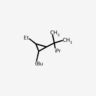 CCC1C(C(C)(C)C)C1C(C)(C)C(C)C